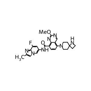 COc1ncc2c(N3CCC4(CCN4)CC3)ccc(C(=O)Nc3cc(F)c4nc(C)cn4c3)c2n1